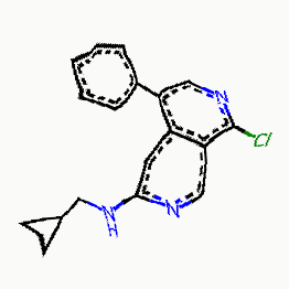 Clc1ncc(-c2ccccc2)c2cc(NCC3CC3)ncc12